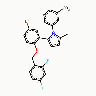 Cc1ccc(-c2cc(Br)ccc2OCc2ccc(F)cc2F)n1-c1cccc(C(=O)O)c1